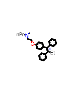 CCCN(C)CCOc1ccc(/C(=C(/CC)c2ccccc2)c2ccccc2)cc1